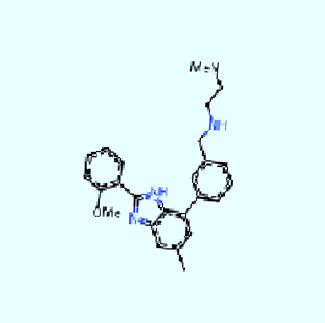 CNCCNCc1cccc(-c2cc(C)cc3nc(-c4ccccc4OC)[nH]c23)c1